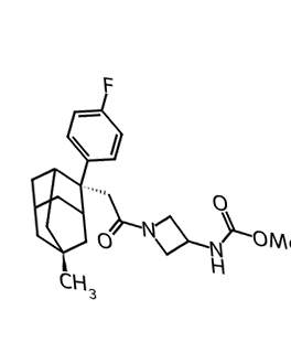 COC(=O)NC1CN(C(=O)C[C@]2(c3ccc(F)cc3)C3CC4CC2C[C@@](C)(C4)C3)C1